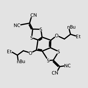 [C-]#[N+]C([N+]#[C-])=C1Sc2c(OCC(CC)CCCC)c3c(c(OCC(CC)CCCC)c2S1)SC(=C(C#N)C#N)S3